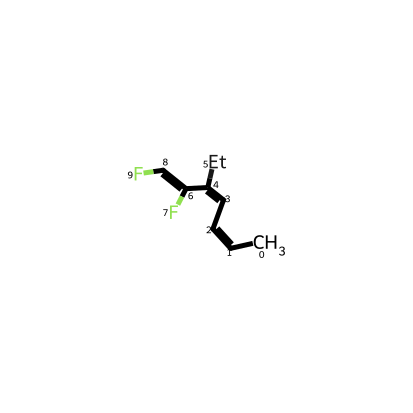 C\C=C/C=C(CC)\C(F)=C\F